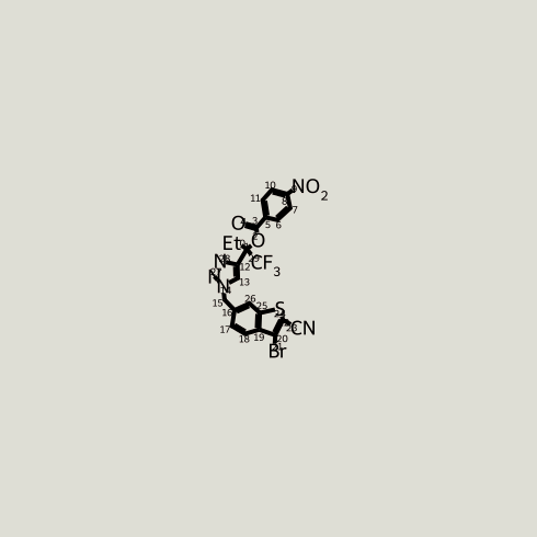 CCC(OC(=O)c1ccc([N+](=O)[O-])cc1)(c1cn(Cc2ccc3c(Br)c(C#N)sc3c2)nn1)C(F)(F)F